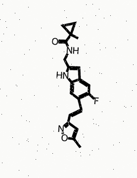 Cc1cc(C=Cc2cc3[nH]c(CNC(=O)C4(C)CC4)cc3cc2F)no1